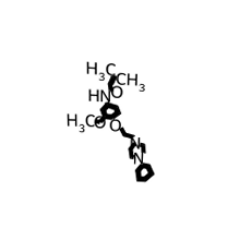 COc1cc(NC(=O)C=C(C)C)ccc1OCCCN1CCN(c2ccccc2)CC1